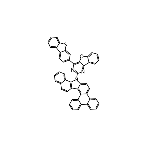 c1ccc2c(c1)ccc1c3c4c5ccccc5c5ccccc5c4ccc3n(-c3nc(-c4ccc5c(c4)sc4ccccc45)c4oc5ccccc5c4n3)c21